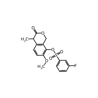 COc1ccc2c(c1OS(=O)(=O)c1cccc(F)c1)COC(=O)C2C